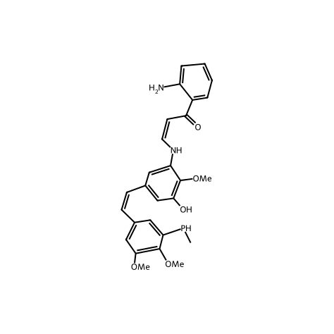 COc1cc(/C=C\c2cc(O)c(OC)c(N/C=C\C(=O)c3ccccc3N)c2)cc(PC)c1OC